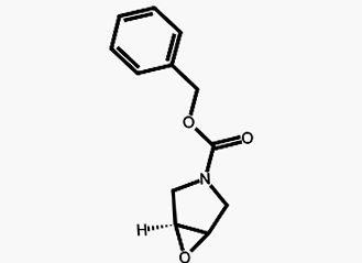 O=C(OCc1ccccc1)N1CC2O[C@H]2C1